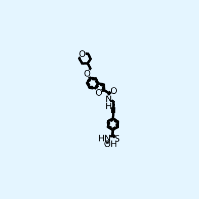 O=C(NCC#Cc1ccc(C(=S)NO)cc1)c1cc2cc(OCC3CCOCC3)ccc2o1